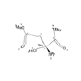 CCC[C@@](O)(CC(=O)OC)C(=O)C(C)(C)C